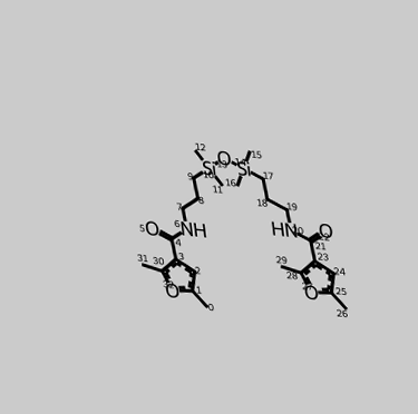 Cc1cc(C(=O)NCCC[Si](C)(C)O[Si](C)(C)CCCNC(=O)c2cc(C)oc2C)c(C)o1